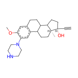 C#C[C@]1(O)CCC2C3CCc4cc(OC)c(N5CCNCC5)cc4C3CC[C@@]21C